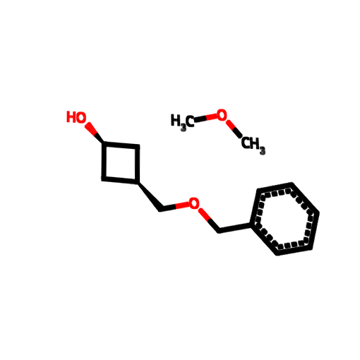 COC.O[C@H]1C[C@@H](COCc2ccccc2)C1